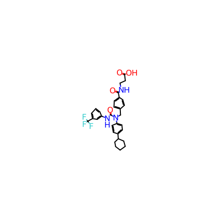 O=C(O)CCNC(=O)c1ccc(CN(C(=O)Nc2cccc(C(F)(F)F)c2)c2ccc(C3CCCCC3)cc2)cc1